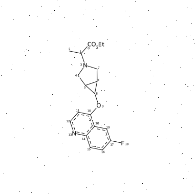 CCOC(=O)C(C)N1CC2C(C1)C2Oc1ccnc2ccc(F)cc12